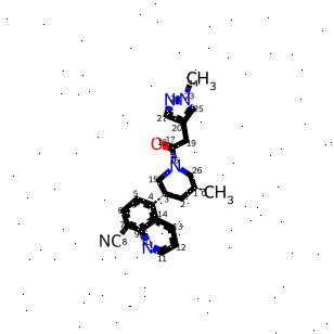 C[C@@H]1C[C@H](c2ccc(C#N)c3ncccc23)CN(C(=O)Cc2cnn(C)c2)C1